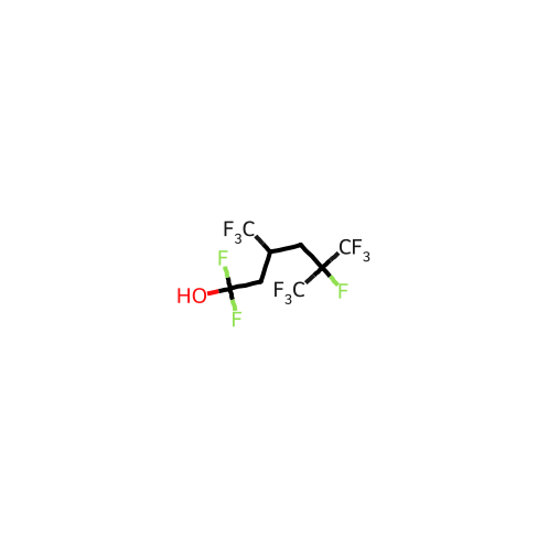 OC(F)(F)CC(CC(F)(C(F)(F)F)C(F)(F)F)C(F)(F)F